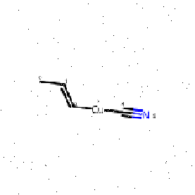 CC=[CH][Cu][C]#N